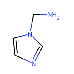 NCn1ccnc1